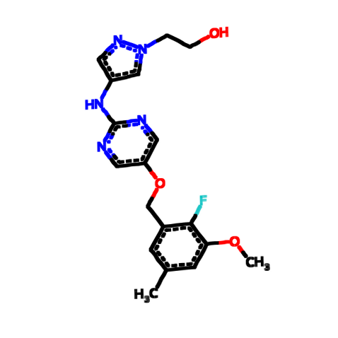 COc1cc(C)cc(COc2cnc(Nc3cnn(CCO)c3)nc2)c1F